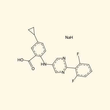 O=C(O)c1cc(C2CC2)ccc1Nc1cnc(-c2c(F)cccc2F)nc1.[NaH]